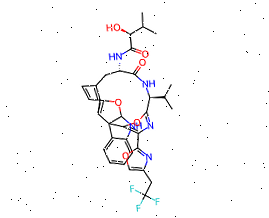 CC(C)[C@H](O)C(=O)N[C@H]1Cc2ccc3c(c2)C2(c4ccccc4NC2O3)c2oc(nc2-c2nc(CC(F)(F)F)co2)[C@H](C(C)C)NC1=O